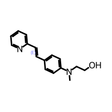 CN(CCO)c1ccc(/C=C/c2ccccn2)cc1